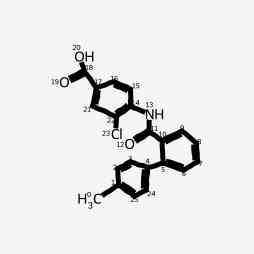 Cc1ccc(-c2ccccc2C(=O)Nc2ccc(C(=O)O)cc2Cl)cc1